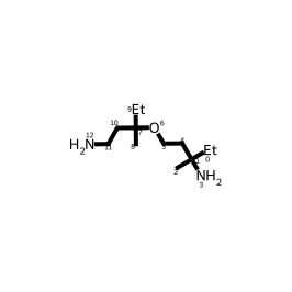 CCC(C)(N)CCOC(C)(CC)CCN